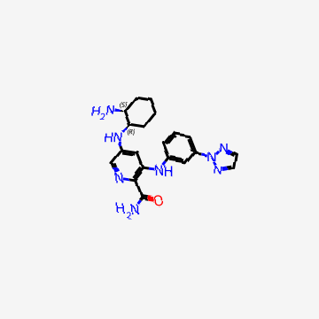 NC(=O)c1ncc(N[C@@H]2CCCC[C@@H]2N)cc1Nc1cccc(-n2nccn2)c1